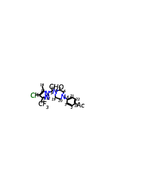 CC(=O)c1ccc(N2CCN(C(C=O)n3nc(C(F)(F)F)c(Cl)c3C)CC2)cc1